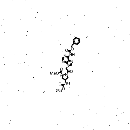 COC(=O)[C@@H]1C[C@H](NC(=O)OC(C)(C)C)CN1C(=O)Cn1cnc2c(NC(=O)OCc3ccccc3)ncnc21